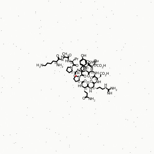 CC[C@H](C)[C@H](NC(=O)[C@@H]1CCCN1C(=O)[C@H](CCSC)NC(=O)[C@H](CC(=O)O)NC(=O)[C@H](CCCNC(=N)N)NC(=O)[C@H](CCC(N)=O)NC(=O)[C@@H]1CCCN1C(=O)[C@H](Cc1ccc(O)cc1)NC(=O)[C@@H]1CCCN1C(=O)[C@@H](NC(=O)[C@H](C)NC(=O)[C@@H](N)CCCCN)C(C)C)C(=O)O